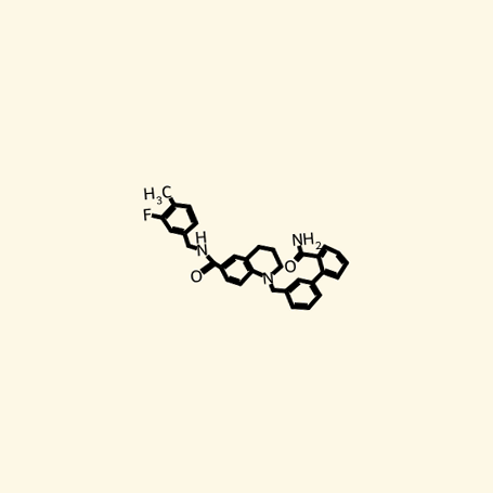 Cc1ccc(CNC(=O)c2ccc3c(c2)CCCN3Cc2cccc(-c3ccccc3C(N)=O)c2)cc1F